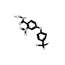 NNC(=O)c1ccc(Oc2ccc(C(F)(F)F)cc2)cc1[N+](=O)[O-]